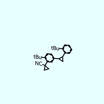 CC(C)(C)c1ccccc1C1CC1c1ccc(C(C)(C)C)c(C2(C#N)CC2)c1